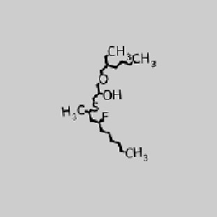 CCCCCCC(F)CC(C)SCC(O)COCC(CC)CCCC